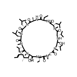 C/C=C/C[C@@H](C)[C@@H](O)[C@H]1C(=O)N[C@@H](CC)C(=O)N(C)CC(=O)N(C)[C@@H](C(C)C)C(O)N[C@@H](C(C)C)C(=O)N(C)[C@@H](CC(C)C)C(=O)NC(CC)C(=O)N[C@H](C)C(=O)N(C)[C@@H](CC(C)C)C(=O)N(C)[C@H](CC(C)C)C(=O)N(C)[C@@H](C(C)C)C(=O)N1C